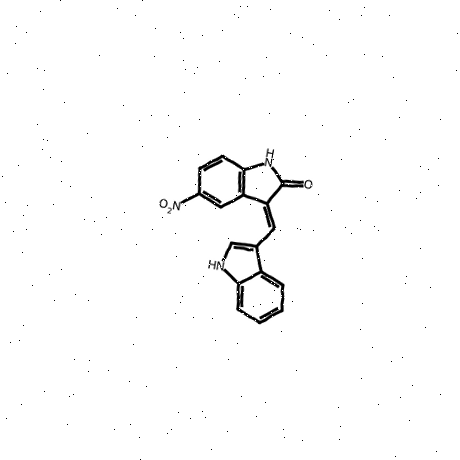 O=C1Nc2ccc([N+](=O)[O-])cc2/C1=C\c1c[nH]c2ccccc12